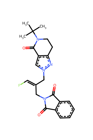 CC(C)(C)N1CCc2nn(CC(=CF)CN3C(=O)c4ccccc4C3=O)cc2C1=O